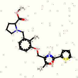 COC(=O)C1CCCN1Cc1cccc(OCc2nc(-c3cccs3)oc2C)c1C